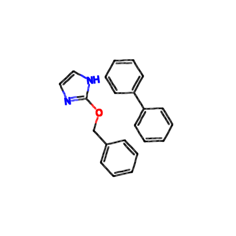 c1ccc(-c2ccccc2)cc1.c1ccc(COc2ncc[nH]2)cc1